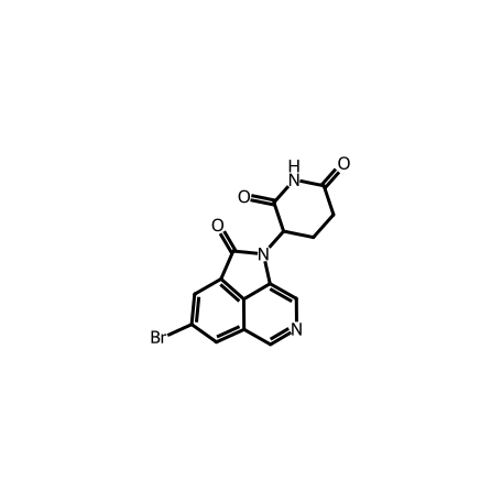 O=C1CCC(N2C(=O)c3cc(Br)cc4cncc2c34)C(=O)N1